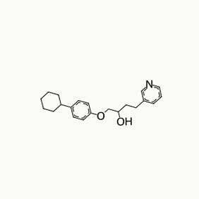 OC(CCc1cccnc1)COc1ccc(C2CCCCC2)cc1